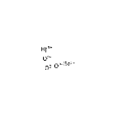 [Hf+4].[O-2].[O-2].[O-2].[Se+2]